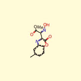 COC(=O)/C(=N\O)c1nc2cc(C)ccc2oc1=O